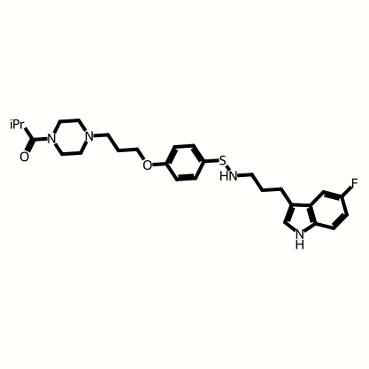 CC(C)C(=O)N1CCN(CCCOc2ccc(SNCCCc3c[nH]c4ccc(F)cc34)cc2)CC1